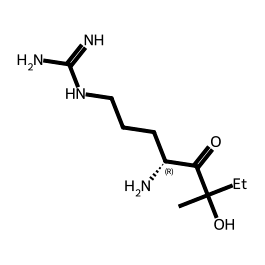 CCC(C)(O)C(=O)[C@H](N)CCCNC(=N)N